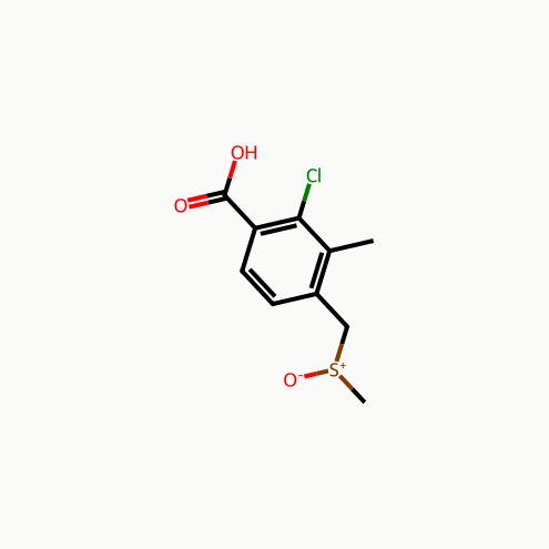 Cc1c(C[S+](C)[O-])ccc(C(=O)O)c1Cl